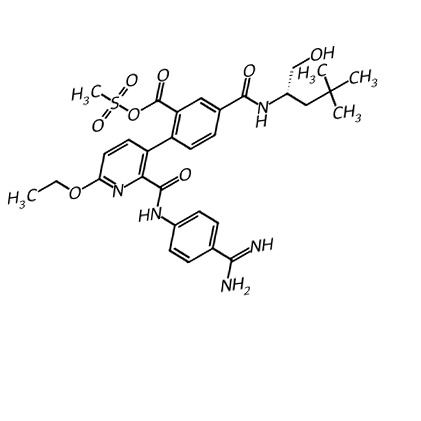 CCOc1ccc(-c2ccc(C(=O)N[C@H](CO)CC(C)(C)C)cc2C(=O)OS(C)(=O)=O)c(C(=O)Nc2ccc(C(=N)N)cc2)n1